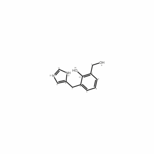 OCc1cccc(Cc2cnc[nH]2)c1O